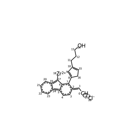 CC=c1ccc2c(c1C1=CC(CCCO)=CC1)[C]([Zr+2])=c1ccccc1=2.[Cl-].[Cl-]